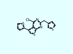 Clc1nc(Cc2ccsc2)nc2scc(-c3cccs3)c12